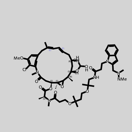 CNN(C)Cc1cc2ccccc2n1CCC(=O)NCC(C)(C)OCCC(C)(C)OCCC(=O)N(C)[C@@H](C)C(=O)O[C@H]1CC(=O)N(C)c2cc(cc(OC)c2Cl)C/C(C)=C/C=C/C[C@@]2(O)C[C@H](OC(O)N2)[C@@H](C)C2O[C@]21C